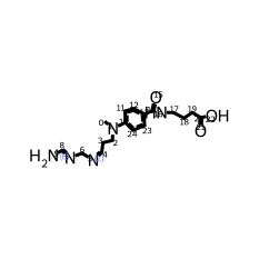 CN(CC/C=N\C/N=C/N)c1ccc(C(=O)NCCCC(=O)O)cc1